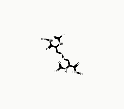 CCNC(=O)C(CSSCC(NC(=O)CC)C(=O)NC(C)(C)C)NC(=O)CC